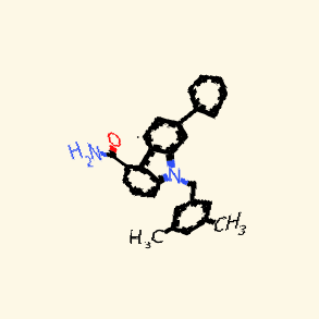 Cc1cc(C)cc(Cn2c3cc(-c4ccccc4)c[c]c3c3c(C(N)=O)cccc32)c1